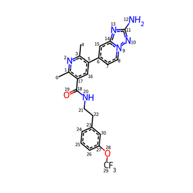 Cc1nc(C)c(-c2ccn3nc(N)nc3c2)cc1C(=O)NCCc1cccc(OC(F)(F)F)c1